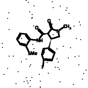 CSc1ccccc1NC(=O)[C@H]1C(=O)N(C)C[C@@H]1c1ccc(F)cc1